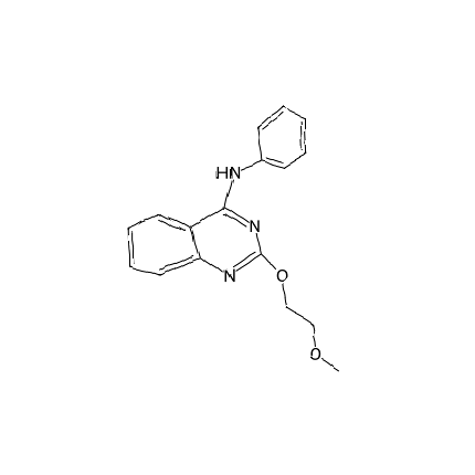 COCCOc1nc(Nc2ccccc2)c2ccccc2n1